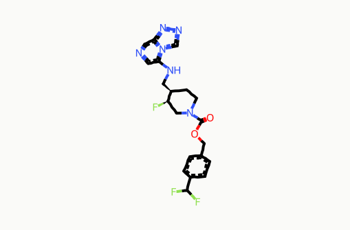 O=C(OCc1ccc(C(F)F)cc1)N1CC[C@H](CNc2cncc3nncn23)[C@H](F)C1